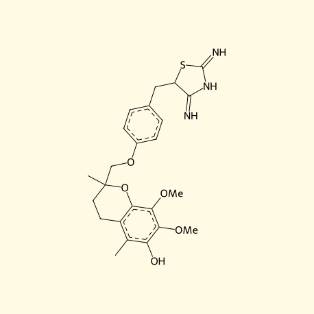 COc1c(O)c(C)c2c(c1OC)OC(C)(COc1ccc(CC3SC(=N)NC3=N)cc1)CC2